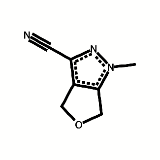 Cn1nc(C#N)c2c1COC2